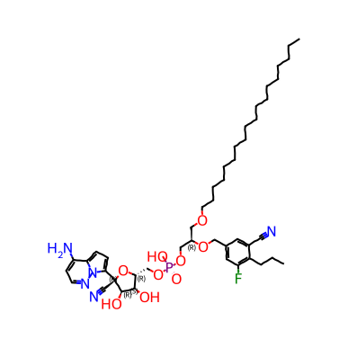 CCCCCCCCCCCCCCCCCCOC[C@H](COP(=O)(O)OC[C@H]1O[C@@](C#N)(c2ccc3c(N)ccnn23)[C@H](O)[C@@H]1O)OCc1cc(F)c(CCC)c(C#N)c1